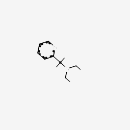 CCN(CC)C(F)(F)c1ccccn1